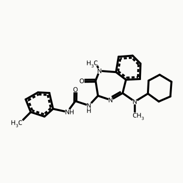 Cc1cccc(NC(=O)NC2N=C(N(C)C3CCCCC3)c3ccccc3N(C)C2=O)c1